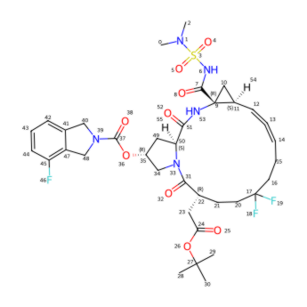 CN(C)S(=O)(=O)NC(=O)[C@@]12C[C@H]1C=C=CCCC(F)(F)CC[C@H](CC(=O)OC(C)(C)C)C(=O)N1C[C@H](OC(=O)N3Cc4cccc(F)c4C3)C[C@H]1C(=O)N2